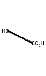 O=C(O)CCCCCCCCCCCCCCCCCCCCCCCCCCO